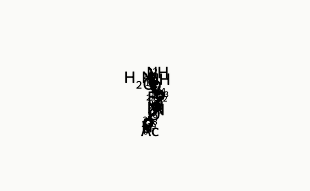 CC(=O)N1CCC(COc2ncc(-c3cccc(COC(=O)NC(=N)N)c3F)cn2)CC1